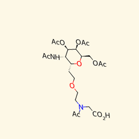 CC(=O)N[C@@H]1[C@@H](OC(C)=O)[C@@H](OC(C)=O)[C@@H](COC(C)=O)O[C@@H]1CCOCCN(CC(=O)O)C(C)=O